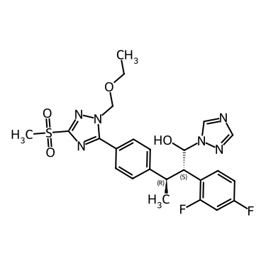 CCOCn1nc(S(C)(=O)=O)nc1-c1ccc([C@H](C)[C@@H](c2ccc(F)cc2F)C(O)n2cncn2)cc1